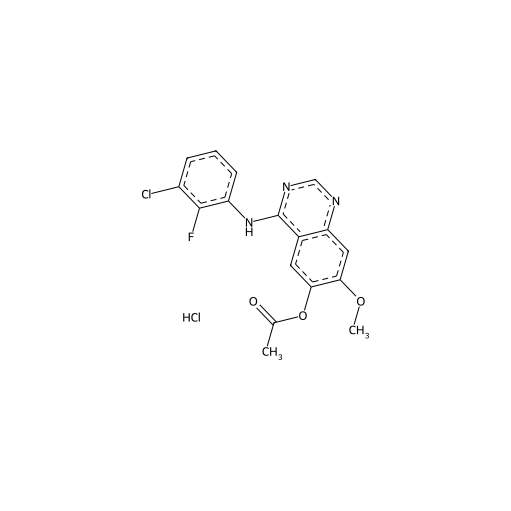 COc1cc2ncnc(Nc3cccc(Cl)c3F)c2cc1OC(C)=O.Cl